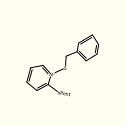 CCCCCc1cccc[n+]1SCc1ccccc1